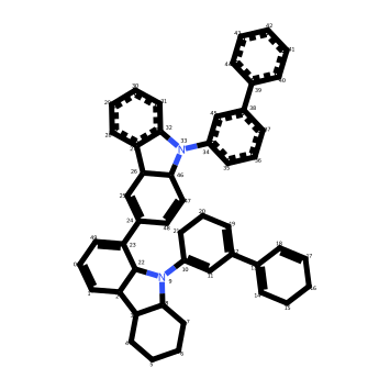 C1=CC2C3CCCCC3N(C3=CC(C4=CCCC=C4)=CCC3)C2C(C2=CC3c4ccccc4N(c4cccc(-c5ccccc5)c4)C3C=C2)=C1